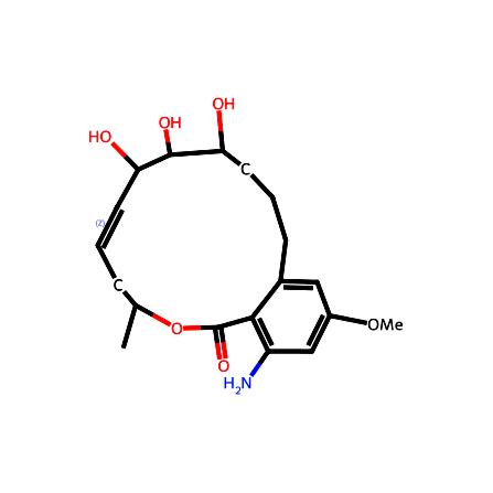 COc1cc(N)c2c(c1)CCCC(O)C(O)C(O)/C=C\CC(C)OC2=O